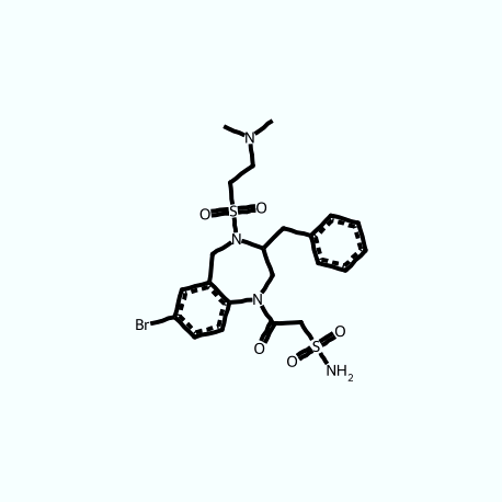 CN(C)CCS(=O)(=O)N1Cc2cc(Br)ccc2N(C(=O)CS(N)(=O)=O)CC1Cc1ccccc1